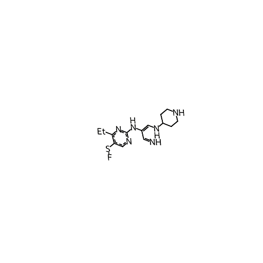 CCc1nc(N/C(C=N)=C/NC2CCNCC2)ncc1SF